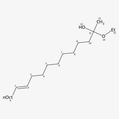 CCCCCCCCC=CCCCCCCCCC(C)(O)OCC